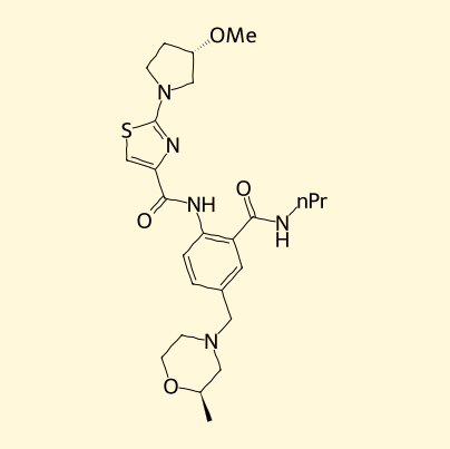 CCCNC(=O)c1cc(CN2CCO[C@H](C)C2)ccc1NC(=O)c1csc(N2CC[C@H](OC)C2)n1